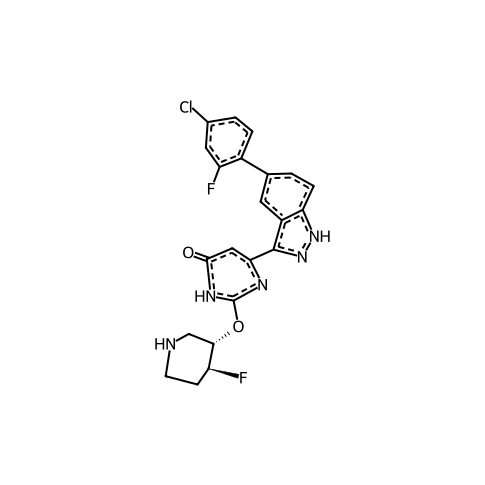 O=c1cc(-c2n[nH]c3ccc(-c4ccc(Cl)cc4F)cc23)nc(O[C@H]2CNCC[C@@H]2F)[nH]1